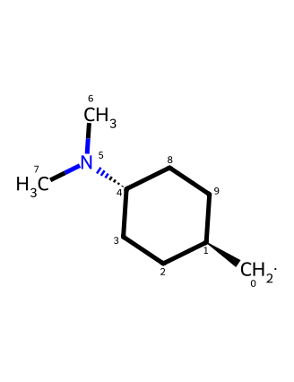 [CH2][C@H]1CC[C@H](N(C)C)CC1